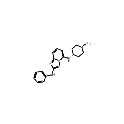 N[C@H]1CC[C@H](Nc2cccc3nc(Nc4ccccc4)nn23)CC1